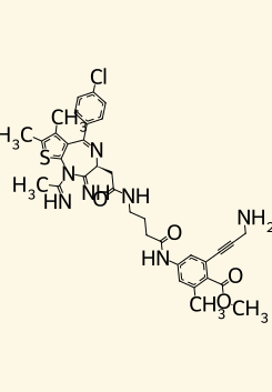 COC(=O)c1c(C)cc(NC(=O)CCCNC(=O)C[C@@H]2N=C(c3ccc(Cl)cc3)c3c(sc(C)c3C)N(C(C)=N)C2=N)cc1C#CCN